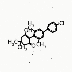 Cc1cc(-c2ccc(Cl)cc2)cc(C)c1C1=C(O)CC(C)(C)CC1=O